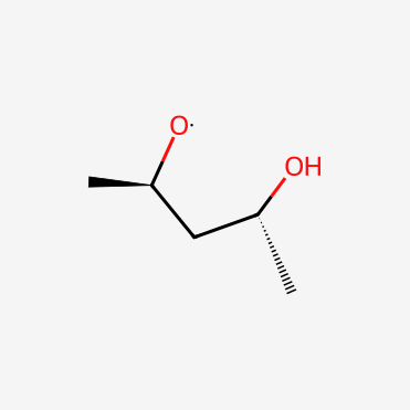 C[C@@H]([O])C[C@@H](C)O